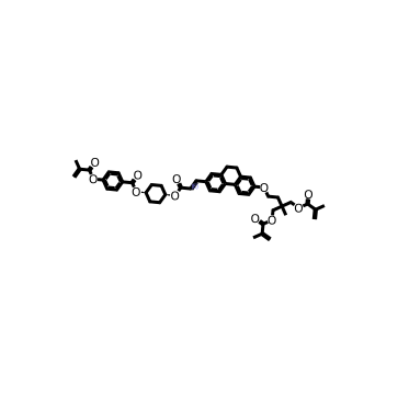 C=C(C)C(=O)OCC(C)(CCOc1ccc2c(c1)CCc1cc(/C=C/C(=O)O[C@H]3CC[C@@H](OC(=O)c4ccc(OC(=O)C(=C)C)cc4)CC3)ccc1-2)COC(=O)C(=C)C